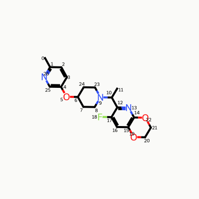 Cc1ccc(OC2CCN(C(C)c3nc4c(cc3F)OCCO4)CC2)cn1